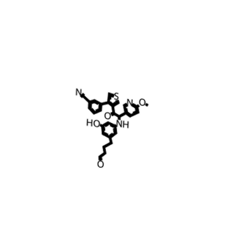 COc1ccc(C(Nc2cc(O)cc(CCCC=O)c2)C(=O)c2cscc2-c2cccc(C#N)c2)cn1